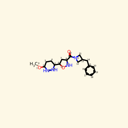 COC1CCC(C2CC(C(=O)N3CC(Cc4ccccc4)C3)NO2)NN1